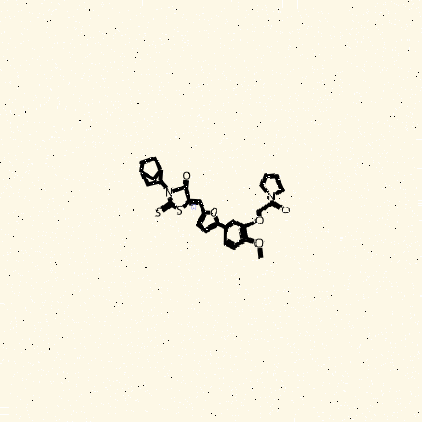 COc1ccc(-c2ccc(/C=C3\SC(=S)N(C4CC5CCC4C5)C3=O)o2)cc1OCC(=O)N1CCCC1